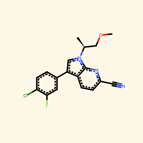 COC[C@H](C)n1cc(-c2ccc(Cl)c(F)c2)c2ccc(C#N)nc21